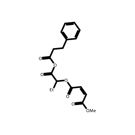 CCC(OC(=O)/C=C\C(=O)OC)C(=O)OC(=O)CCc1ccccc1